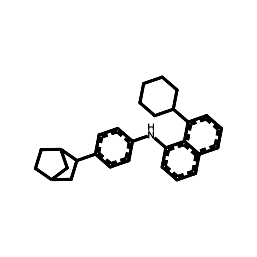 c1cc(Nc2ccc(C3CC4CCC3C4)cc2)c2c(C3CCCCC3)cccc2c1